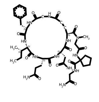 CC[C@H](C)[C@@H]1NC(=O)[C@H](Cc2ccccc2)NC(=O)CNC(=O)CC[C@@H](C(=O)N(C)CC(=O)NC2(C(=O)NCC(N)=O)CCCC2)NC(=O)[C@H](CC(N)=O)NC(=O)[C@H](CCC(N)=O)NC1=O